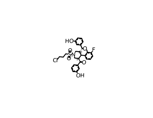 Cc1c(F)cccc1C1[C@@H](C(=O)c2cccc(O)c2)CN(S(=O)(=O)CCCCl)C[C@@H]1C(=O)c1cccc(O)c1